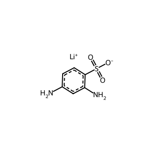 Nc1ccc(S(=O)(=O)[O-])c(N)c1.[Li+]